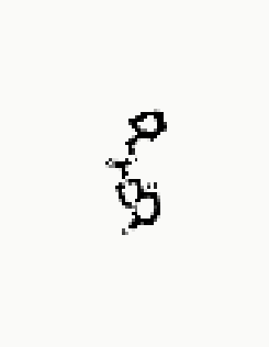 O=C(OCc1ccccc1)N1CCN2C(=O)CCC[C@@H]2C1